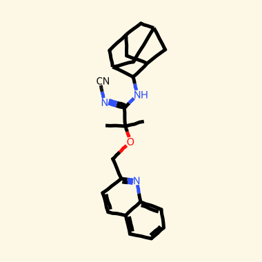 CC(C)(OCc1ccc2ccccc2n1)C(=NC#N)NC1C2CC3CC(C2)CC1C3